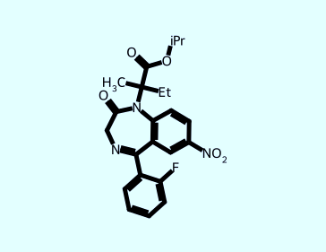 CCC(C)(C(=O)OC(C)C)N1C(=O)CN=C(c2ccccc2F)c2cc([N+](=O)[O-])ccc21